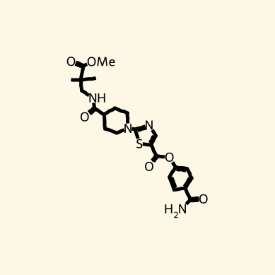 COC(=O)C(C)(C)CNC(=O)C1CCN(c2ncc(C(=O)Oc3ccc(C(N)=O)cc3)s2)CC1